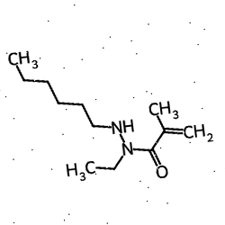 C=C(C)C(=O)N(CC)NCCCCCC